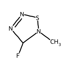 CN1SN=NC1F